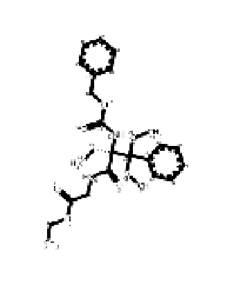 CCOC(=O)CNC(=O)[C@@](CC)(NC(=O)OCc1ccccc1)C(OC)(OC)c1ccccc1